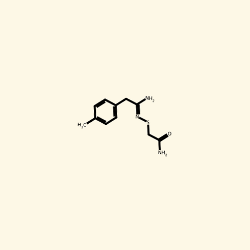 Cc1ccc(CC(N)=NSCC(N)=O)cc1